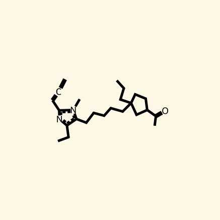 C=C=Cc1nc(CC)c(CCCCCC2(CCC)CCC(C(C)=O)C2)n1C